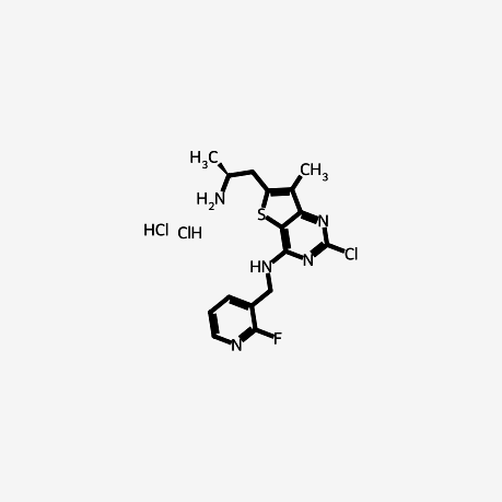 Cc1c(C[C@H](C)N)sc2c(NCc3cccnc3F)nc(Cl)nc12.Cl.Cl